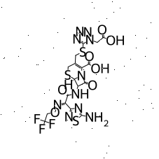 Nc1nc(/C(=N\OCC(F)(F)F)C(=O)NC2C(=O)N3C(C(=O)O)=C(CSc4nnnn4CC(=O)O)CS[C@H]23)ns1